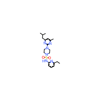 CCc1cccc(NS(=O)(=O)N2CCN(c3nc(C)cc(CC(C)C)n3)CC2)n1